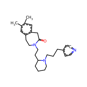 Cc1cc2c(cc1C)CC(=O)N(CCC1CCCCN1CCCc1ccncc1)CC2